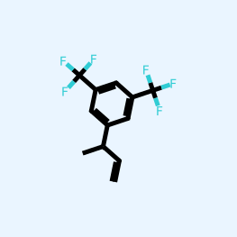 C=C[C](C)c1cc(C(F)(F)F)cc(C(F)(F)F)c1